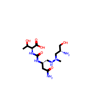 CC(O)[C@H](NC(=O)N[C@H](CNN(C)C[C@@H](N)CO)CC(N)=O)C(=O)O